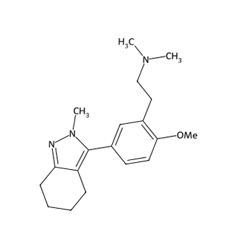 COc1ccc(-c2c3c(nn2C)CCCC3)cc1CCN(C)C